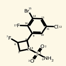 NS(=O)(=O)N1CC(F)C1c1cc(Cl)cc(Br)c1F